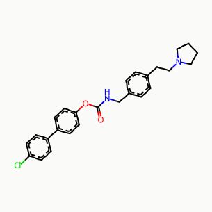 O=C(NCc1ccc(CCN2CCCC2)cc1)Oc1ccc(-c2ccc(Cl)cc2)cc1